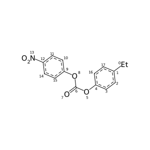 CCc1ccc(OC(=O)Oc2ccc([N+](=O)[O-])cc2)cc1